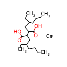 CCCCC(CC)CC(C(=O)O)C(CC(CC)CCCC)C(=O)O.[Ca]